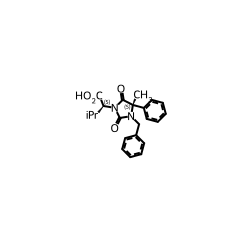 CC(C)[C@@H](C(=O)O)N1C(=O)N(Cc2ccccc2)[C@@](C)(c2ccccc2)C1=O